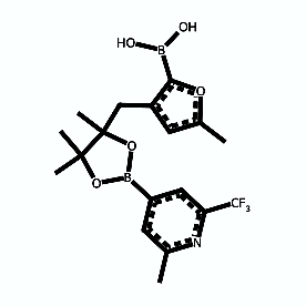 Cc1cc(B2OC(C)(C)C(C)(Cc3cc(C)oc3B(O)O)O2)cc(C(F)(F)F)n1